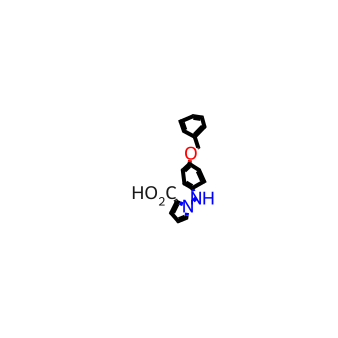 O=C(O)c1cccn1Nc1ccc(OCc2ccccc2)cc1